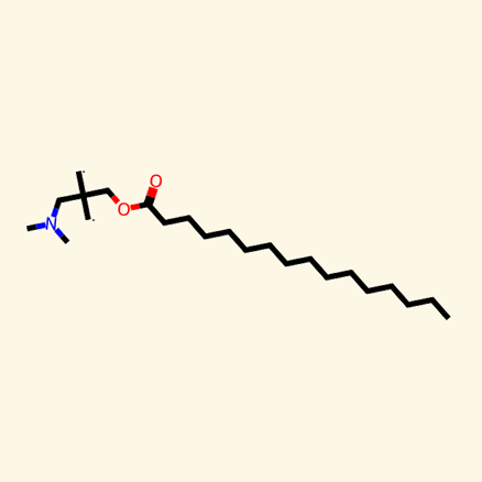 [CH2]C([CH2])(COC(=O)CCCCCCCCCCCCCCC)CN(C)C